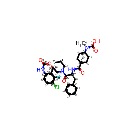 CN(C(=O)O)C12CCC(C(=O)N[C@@H](Cc3ccccc3)C(=O)N3CCC[C@@]4(C3)OC(=O)Nc3ccc(Cl)c(F)c34)(CC1)CC2